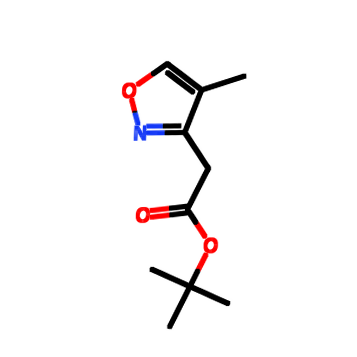 Cc1conc1CC(=O)OC(C)(C)C